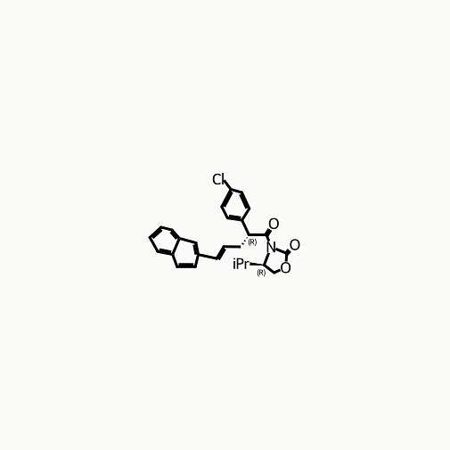 CC(C)[C@@H]1COC(=O)N1C(=O)[C@H](CC=Cc1ccc2ccccc2c1)c1ccc(Cl)cc1